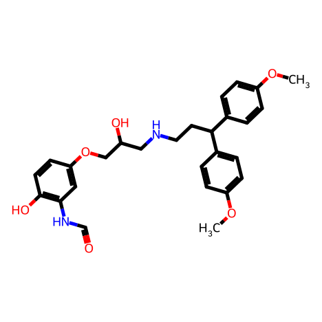 COc1ccc(C(CCNCC(O)COc2ccc(O)c(NC=O)c2)c2ccc(OC)cc2)cc1